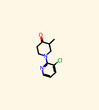 CC1CN(c2ncccc2Cl)CCC1=O